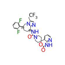 O=C1Nc2ncccc2C2(CCN(C(=O)N[C@@H]3CC[C@@H](c4c(F)cccc4F)Cn4c(CC(F)(F)F)cnc43)CC2)O1